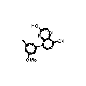 COc1cc(C)cc(-c2ccc(C#N)c3ncc(O)nc23)c1